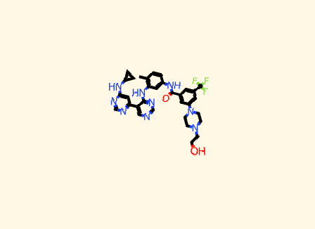 Cc1ccc(NC(=O)c2cc(N3CCN(CCO)CC3)cc(C(F)(F)F)c2)cc1Nc1ncncc1-c1cc(NC2CC2)ncn1